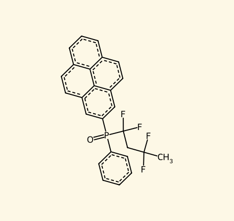 CC(F)(F)CC(F)(F)P(=O)(c1ccccc1)c1cc2ccc3cccc4ccc(c1)c2c34